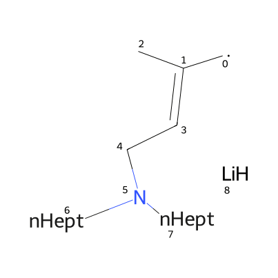 [CH2]C(C)=CCN(CCCCCCC)CCCCCCC.[LiH]